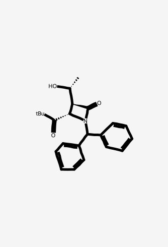 C[C@@H](O)[C@H]1C(=O)N(C(c2ccccc2)c2ccccc2)[C@@H]1C(=O)C(C)(C)C